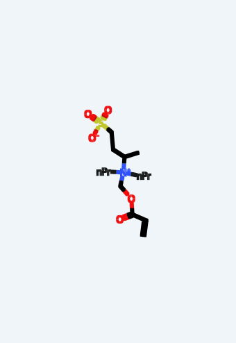 C=CC(=O)OC[N+](CCC)(CCC)C(C)CCS(=O)(=O)[O-]